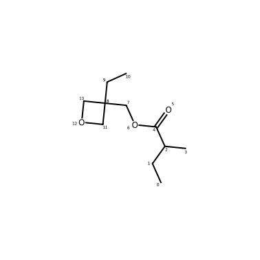 CCC(C)C(=O)OCC1(CC)COC1